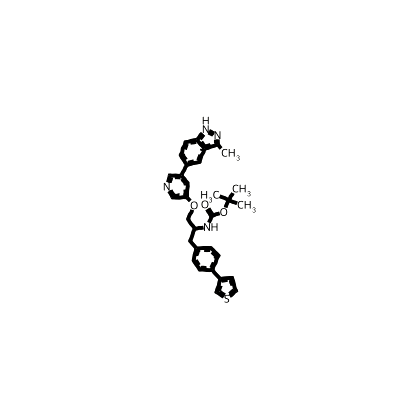 Cc1n[nH]c2ccc(-c3cncc(OCC(Cc4ccc(-c5ccsc5)cc4)NC(=O)OC(C)(C)C)c3)cc12